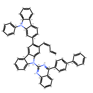 C=C/C=C\c1cc2c(cc1-c1ccc3c4ccccc4n(-c4ccccc4)c3c1)c1ccccc1n2-c1nc(-c2ccc(-c3ccccc3)cc2)c2ccccc2n1